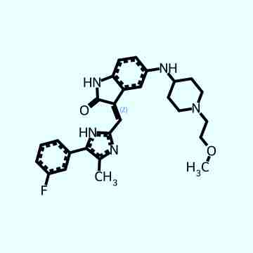 COCCN1CCC(Nc2ccc3c(c2)/C(=C/c2nc(C)c(-c4cccc(F)c4)[nH]2)C(=O)N3)CC1